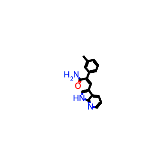 Cc1cccc(C(=Cc2c[nH]c3ncccc23)C(N)=O)c1